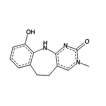 Cn1cc2c(nc1=O)Nc1c(O)cccc1CC2